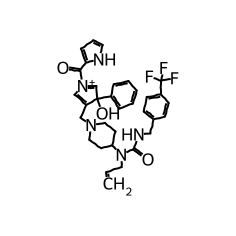 C=CCN(C(=O)NCc1ccc(C(F)(F)F)cc1)C1CCN(CC2=C[N+](C(=O)c3ccc[nH]3)=CC2(O)c2ccccc2)CC1